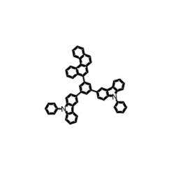 c1ccc(-n2c3ccccc3c3cc(-c4cc(-c5ccc6c(c5)c5ccccc5n6-c5ccccc5)cc(-c5cc6ccc7ccccc7c6c6ccccc56)c4)ccc32)cc1